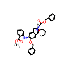 COC(=O)c1ccccc1Nc1cc2c(cc1OCc1ccccc1)[C@]13CCCCC1[C@H](C2)N(C(=O)OCc1ccccc1)CC3